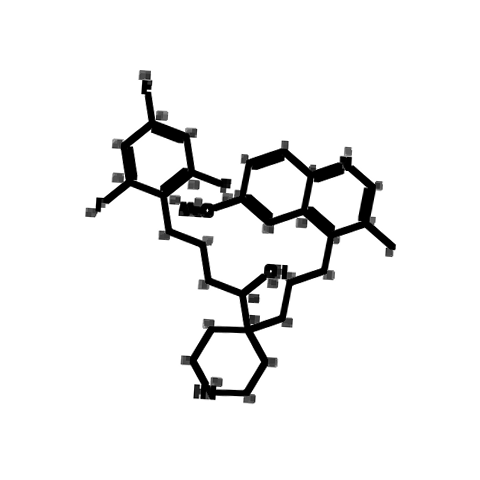 COc1ccc2ncc(C)c(CCCC3(C(O)CCCc4c(F)cc(F)cc4F)CCNCC3)c2c1